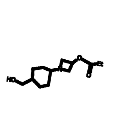 CCC(=O)OC1CN(C2CCC(CO)CC2)C1